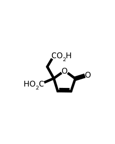 O=C(O)CC1(C(=O)O)C=CC(=O)O1